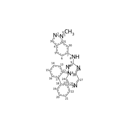 Cn1ncc2ccc(NC3=N[N+]4(c5ccccc5-c5ccccc5)C=CN=CC4=N3)cc21